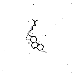 CC(C)=N/C=C/[C@@H](C)[C@H]1CCC2[C@@H]3CC=C4C[C@@H](O)CC[C@]4(C)C3CC[C@@]21C